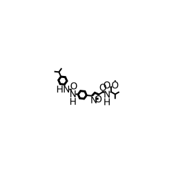 COC(=O)[C@@H](NC(=O)c1cc(-c2ccc(NC(=O)Nc3ccc(C(C)C)cc3)cc2)no1)C(C)C